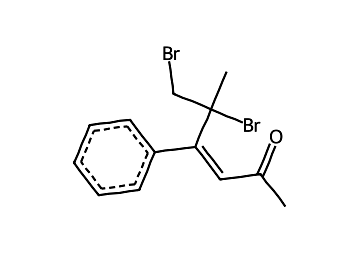 CC(=O)/C=C(/c1ccccc1)C(C)(Br)CBr